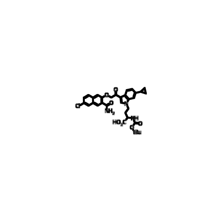 CC(C)(C)OC(=O)NC(CCn1cc(C(=O)COc2cc3ccc(Cl)cc3cc2C(N)=O)c2ccc(C3CC3)cc21)C(=O)O